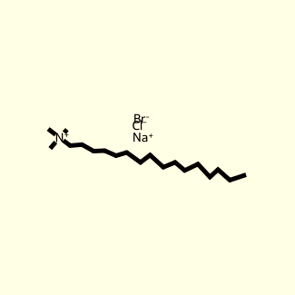 CCCCCCCCCCCCCCCC[N+](C)(C)C.[Br-].[Cl-].[Na+]